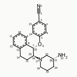 N#Cc1ccc(O[C@H]2c3ccccc3CC[C@@H]2N2CCC[C@@H](N)C2)cc1